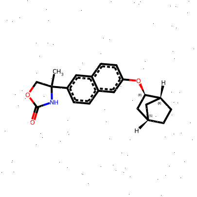 CC1(c2ccc3cc(O[C@@H]4C[C@H]5CC[C@@H]4C5)ccc3c2)COC(=O)N1